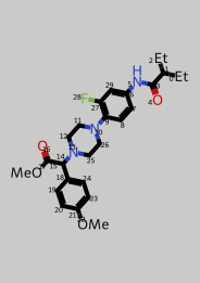 CCC(CC)C(=O)Nc1ccc(N2CCN(C(C(=O)OC)c3ccc(OC)cc3)CC2)c(F)c1